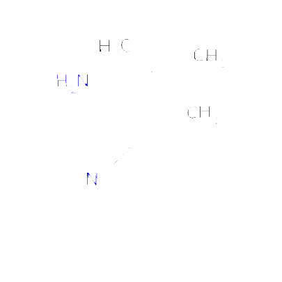 CC(C)(C)[C@@H](N)c1ccccn1